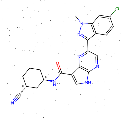 Cn1nc(-c2cnc3[nH]cc(C(=O)N[C@@H]4CCC[C@@H](C#N)C4)c3n2)c2ccc(Cl)cc21